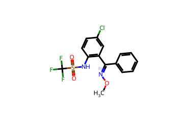 CO/N=C(\c1ccccc1)c1cc(Cl)ccc1NS(=O)(=O)C(F)(F)F